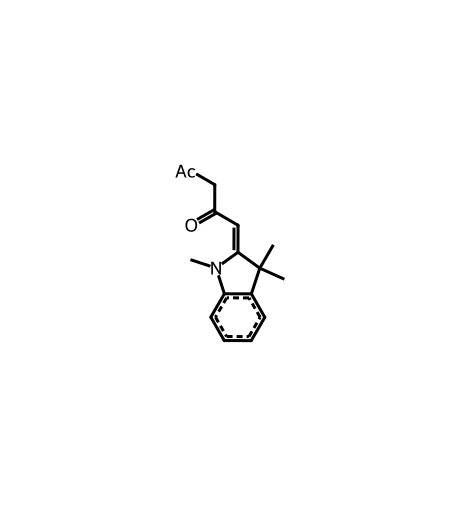 CC(=O)CC(=O)/C=C1\N(C)c2ccccc2C1(C)C